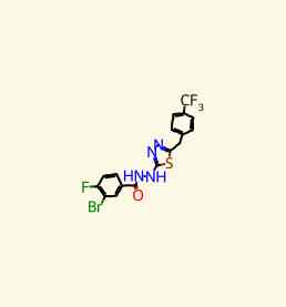 O=C(NNc1nnc(Cc2ccc(C(F)(F)F)cc2)s1)c1ccc(F)c(Br)c1